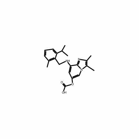 Cc1cccc(C(C)C)c1CNc1cc(OC(=O)O)cn2c(C)c(C)nc12